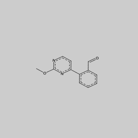 COc1nccc(-c2ccccc2C=O)n1